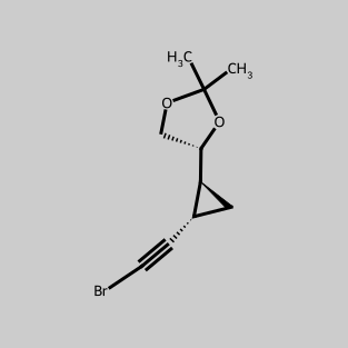 CC1(C)OC[C@@H]([C@H]2C[C@@H]2C#CBr)O1